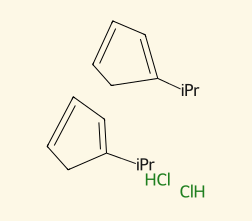 CC(C)C1=CC=CC1.CC(C)C1=CC=CC1.Cl.Cl